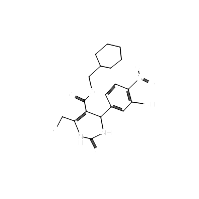 CCC1=C(C(=O)OCC2CCCCC2)C(c2ccc([N+](=O)[O-])c(O)c2)NC(=O)N1